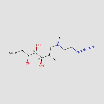 COCC(O)[C@@H](O)[C@H](O)C(C)CN(C)CCN=[N+]=[N-]